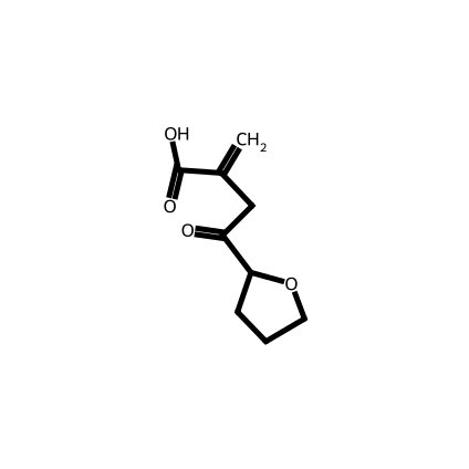 C=C(CC(=O)C1CCCO1)C(=O)O